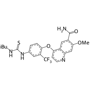 CCC(C)NC(=S)Nc1ccc(Oc2ccnc3cc(OC)c(C(N)=O)cc23)c(C(F)(F)F)c1